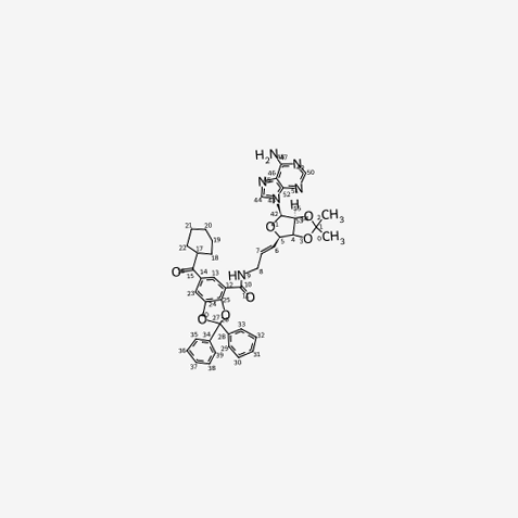 CC1(C)OC2[C@@H](/C=C/CNC(=O)c3cc(C(=O)C4CCCCC4)cc4c3OC(c3ccccc3)(c3ccccc3)O4)O[C@@H](n3cnc4c(N)ncnc43)[C@H]2O1